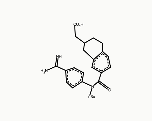 CCCCN(C(=O)c1ccc2c(c1)CC(CC(=O)O)CC2)c1ccc(C(=N)N)cc1